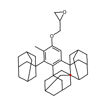 Cc1c(OCC2CO2)cc(C23CC4CC(CC(C4)C2)C3)c(C23CC4CC(CC(C4)C2)C3)c1C12CC3CC(CC(C3)C1)C2